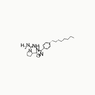 CCCCCCCCc1ccc(-c2noc(C3CCCN3C(=N)N)n2)cc1